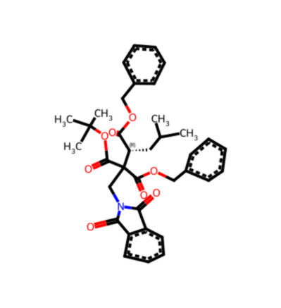 CC(C)C[C@@H](C(=O)OCc1ccccc1)C(CN1C(=O)c2ccccc2C1=O)(C(=O)OCc1ccccc1)C(=O)OC(C)(C)C